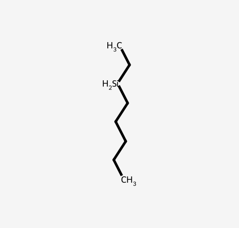 CCCCC[SiH2]CC